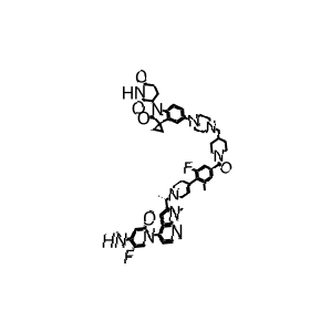 CNc1cc(=O)n(-c2ccnc3c2cc([C@H](C)N2CC=C(c4c(C)cc(C(=O)N5CCC(CN6CCN(c7ccc8c(c7)C7(CC7)C(=O)N8C7CCC(=O)NC7=O)CC6)CC5)cc4F)CC2)n3C)cc1F